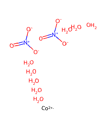 O.O.O.O.O.O.O.O.O=[N+]([O-])[O-].O=[N+]([O-])[O-].[Co+2]